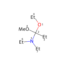 CCOC(CC)(OC)N(CC)CC